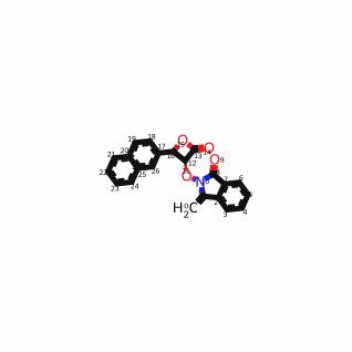 C=C1c2ccccc2C(=O)N1O[C@@H]1C(=O)OC1c1ccc2ccccc2c1